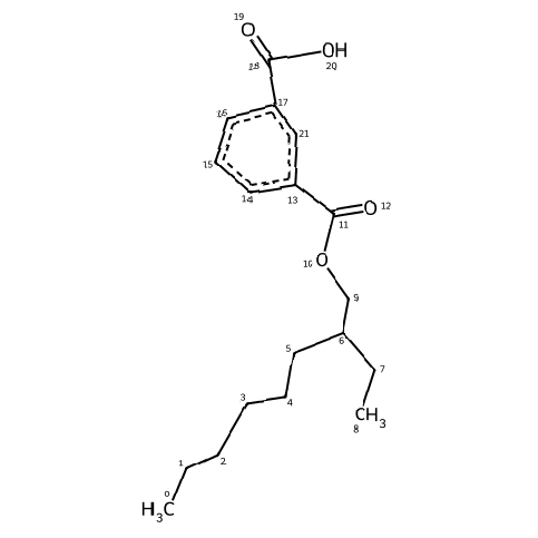 CCCCCCC(CC)COC(=O)c1cccc(C(=O)O)c1